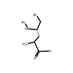 CCC(=O)C(C)C[C@@H](CC(C)C)NC(C)C